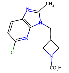 Cc1nc2ccc(Cl)nc2n1CC1CN(C(=O)O)C1